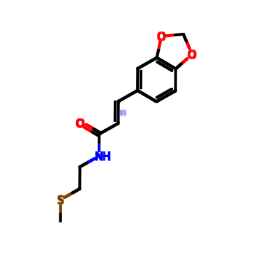 CSCCNC(=O)/C=C/c1ccc2c(c1)OCO2